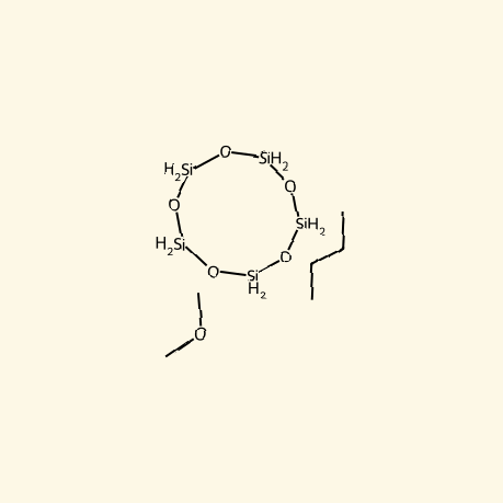 CCCC.COC.O1[SiH2]O[SiH2]O[SiH2]O[SiH2]O[SiH2]1